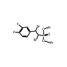 CC(C)OP(=O)(OC(C)C)C(Br)C(Br)c1ccc(F)c(F)c1